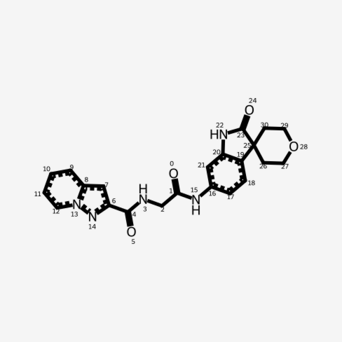 O=C(CNC(=O)c1cc2ccccn2n1)Nc1ccc2c(c1)NC(=O)C21CCOCC1